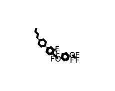 CCCC[C@H]1CC[C@H](c2ccc(C(F)(F)Oc3ccc(OC(F)(F)F)cc3)c(F)c2)CC1